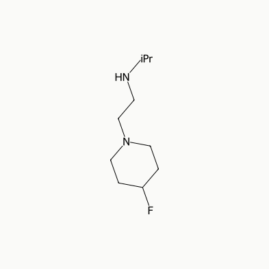 CC(C)NCCN1CCC(F)CC1